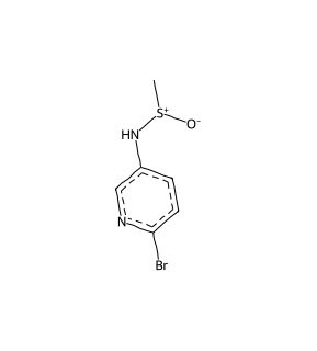 C[S+]([O-])Nc1ccc(Br)nc1